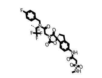 CNS(=O)(=O)CC(=O)Nc1ccc2c(c1)CC[C@@]21OC(=O)N(CC(=O)N(Cc2ccc(F)cc2)[C@@H](C)C(F)(F)F)C1=O